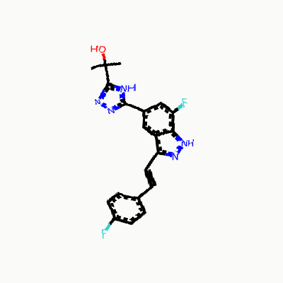 CC(C)(O)c1nnc(-c2cc(F)c3[nH]nc(C=Cc4ccc(F)cc4)c3c2)[nH]1